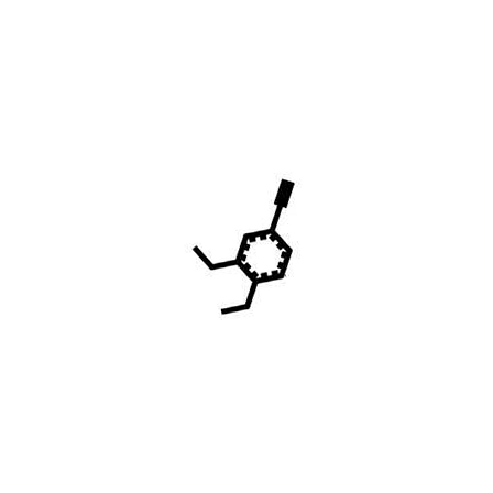 C#Cc1c[c]c(CC)c(CC)c1